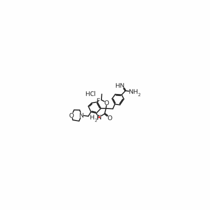 CCOC(Cc1ccc(C(=N)N)cc1)(C(N)=O)c1c(F)ccc(CN2CCOCC2)c1F.Cl